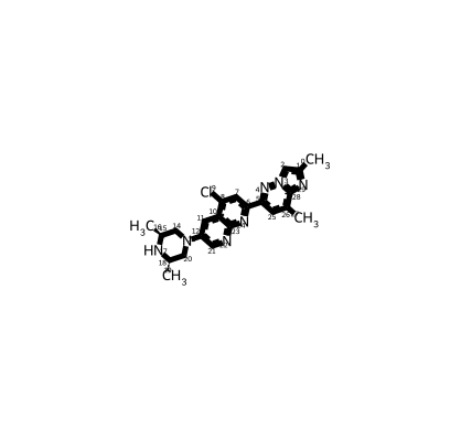 Cc1cn2nc(-c3cc(Cl)c4cc(N5C[C@H](C)N[C@@H](C)C5)cnc4n3)cc(C)c2n1